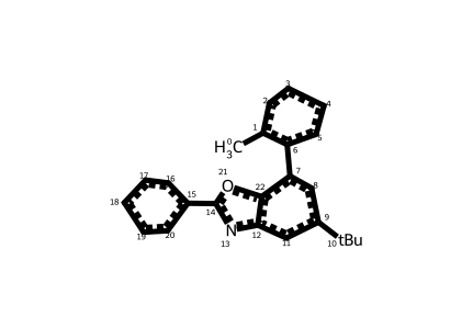 Cc1ccccc1-c1cc(C(C)(C)C)cc2nc(-c3ccccc3)oc12